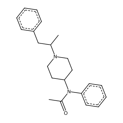 CC(=O)N(c1ccccc1)C1CCN(C(C)Cc2ccccc2)CC1